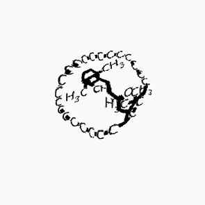 CC12CCC(CC1)C(C)(C)C2CCC(=O)CC1C2CCCCCCCCCCCCCCCCCCCCCC(CC2)C1(C)C